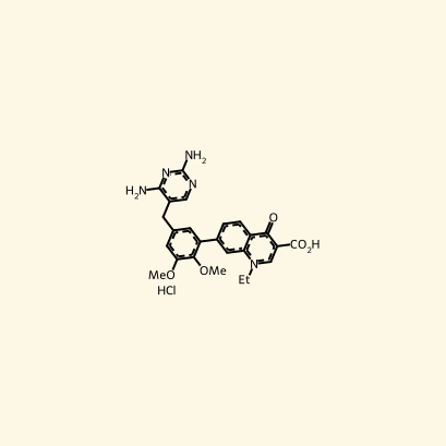 CCn1cc(C(=O)O)c(=O)c2ccc(-c3cc(Cc4cnc(N)nc4N)cc(OC)c3OC)cc21.Cl